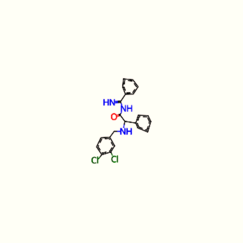 N=C(NC(=O)C(NCc1ccc(Cl)c(Cl)c1)c1ccccc1)c1ccccc1